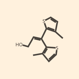 Cc1ccsc1C(=CCO)c1sccc1C